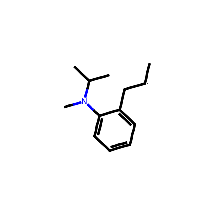 C[CH]Cc1ccccc1N(C)C(C)C